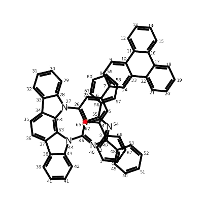 c1ccc(-c2cc(-c3ccc4c5ccccc5c5ccccc5c4c3)cc(-n3c4ccccc4c4ccc5c6ccccc6n(-c6nc(-c7ccccc7)nc(-c7ccccc7)n6)c5c43)c2)cc1